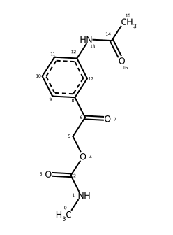 CNC(=O)OCC(=O)c1cccc(NC(C)=O)c1